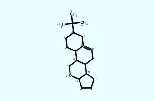 CC(C)(C)C1CCC2C(=CCC3C4CCCC4OCC23)C1